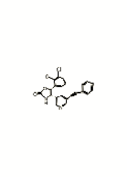 O=C1N[C@@H](c2cncc(C#Cc3ccccc3)c2)[C@H](c2cccc(Cl)c2Cl)O1